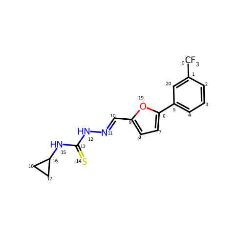 FC(F)(F)c1cccc(-c2ccc(/C=N/NC(=S)NC3CC3)o2)c1